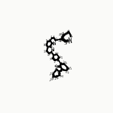 c1cncc(-c2ccc3ccc4ccc(-c5ccc(-c6cccc7c6sc6ccccc67)cc5)nc4c3n2)c1